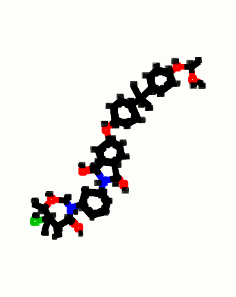 C=C1C(=O)N(c2cccc(N3C(=O)c4ccc(Oc5ccc(C(C)(C)c6ccc(OC(C)OC)cc6)cc5)cc4C3=O)c2)COC(C)C1(C)Cl